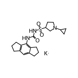 O=C(Nc1c2c(cc3c1CCC3)CCC2)NS(=O)(=O)C1CCN(C2CC2)C1.[K]